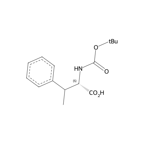 CC(c1ccccc1)[C@H](NC(=O)OC(C)(C)C)C(=O)O